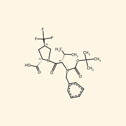 CC(C)[C@@H](C(=O)N1C[C@H](C(F)(F)F)C[C@H]1C(=O)O)N(Cc1ccccc1)C(=O)OC(C)(C)C